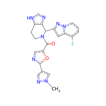 Cn1cc(-c2ncc(C(=O)N3CCc4[nH]cnc4C3c3cc4c(F)cccn4n3)o2)cn1